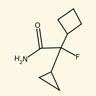 NC(=O)C(F)(C1CCC1)C1CC1